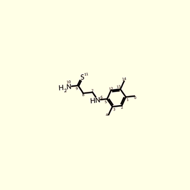 Cc1cc(C)c(NCCC(N)=S)cc1C